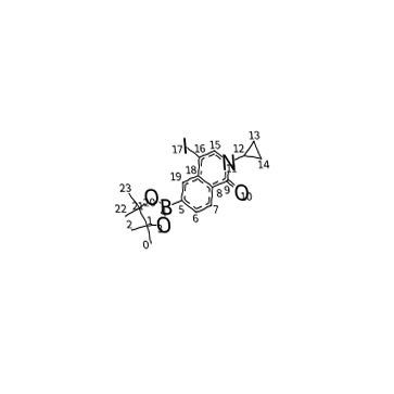 CC1(C)OB(c2ccc3c(=O)n(C4CC4)cc(I)c3c2)OC1(C)C